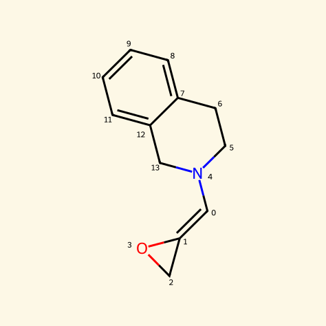 C(=C1CO1)N1CCc2ccccc2C1